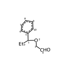 CCC(OCC=O)c1ccccc1